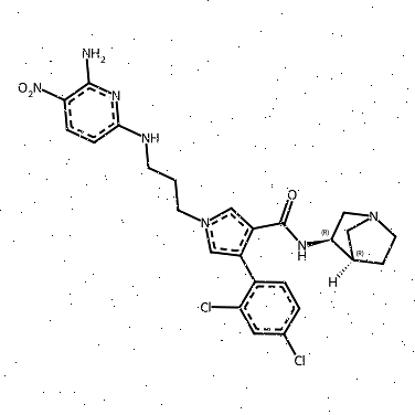 Nc1nc(NCCCn2cc(C(=O)N[C@H]3CN4CC[C@@H]3C4)c(-c3ccc(Cl)cc3Cl)c2)ccc1[N+](=O)[O-]